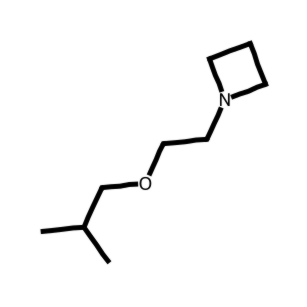 CC(C)COCCN1CCC1